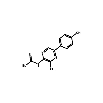 CCC(C)C(=O)Nc1ncc(-c2ccc(O)cc2)nc1C